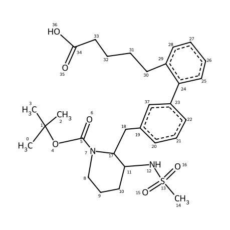 CC(C)(C)OC(=O)N1CCCC(NS(C)(=O)=O)C1Cc1cccc(-c2ccccc2CCCCC(=O)O)c1